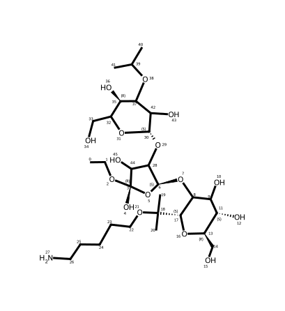 CCO[C@@]1(O)O[C@H](OC2C(O)[C@H](O)[C@@H](CO)O[C@@H]2C(C)(C)OCCCCCN)C(O[C@@H]2OC(CO)[C@@H](O)C(OC(C)C)C2O)C1O